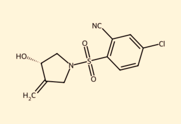 C=C1CN(S(=O)(=O)c2ccc(Cl)cc2C#N)C[C@H]1O